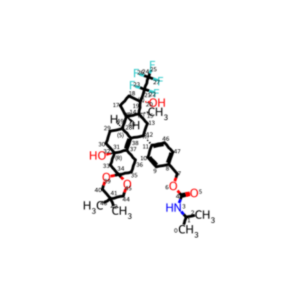 CC(C)NC(=O)OCc1ccc([C@H]2C[C@@]3(C)[C@@H](CC[C@@]3(O)C(F)(F)C(F)(F)F)[C@@H]3CC[C@@]4(O)CC5(CCC4=C32)OCC(C)(C)CO5)cc1